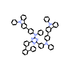 c1ccc(-c2ccccc2-c2cccc(-c3nc(-c4cccc(N(c5ccccc5)c5ccc(-c6ccc7c(c6)c6ccccc6n7-c6ccccc6)cc5)c4)nc(N(c4ccccc4)c4ccc(-c5ccc6c(c5)c5ccccc5n6-c5ccccc5)cc4)n3)c2)cc1